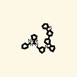 CN/C(=N\C(=N/Cc1cccc(-n2c3ccccc3c3cc(-c4ccc5sc6ccccc6c5c4)ccc32)c1)c1ccccc1)c1ccccc1